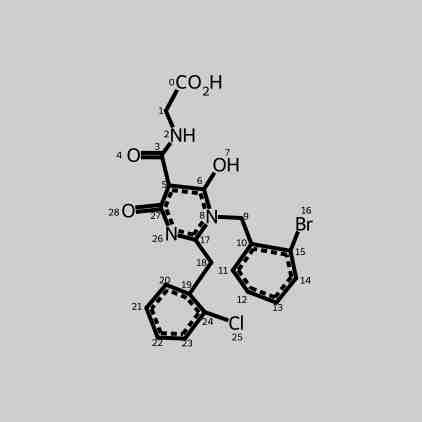 O=C(O)CNC(=O)c1c(O)n(Cc2ccccc2Br)c(Cc2ccccc2Cl)nc1=O